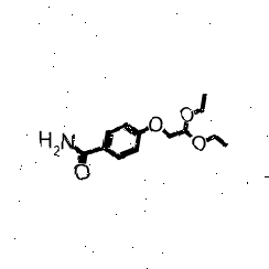 CCOC(COc1ccc(C(N)=O)cc1)OCC